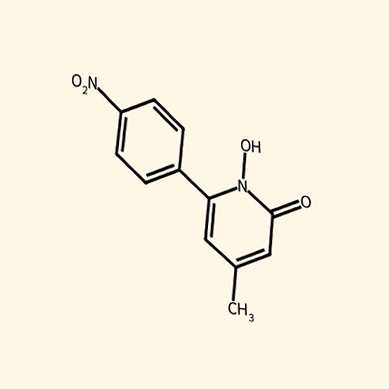 Cc1cc(-c2ccc([N+](=O)[O-])cc2)n(O)c(=O)c1